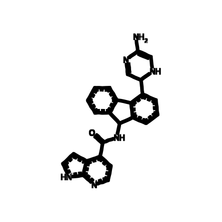 NC1=CNC(c2cccc3c2-c2ccccc2C3NC(=O)c2ccnc3[nH]ccc23)C=N1